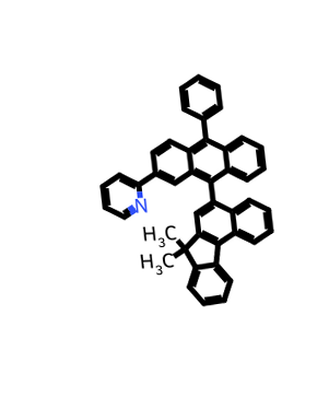 CC1(C)c2ccccc2-c2c1cc(-c1c3ccccc3c(-c3ccccc3)c3ccc(-c4ccccn4)cc13)c1ccccc21